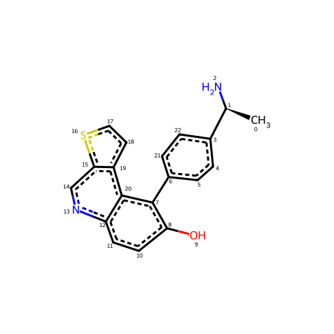 C[C@H](N)c1ccc(-c2c(O)ccc3ncc4sccc4c23)cc1